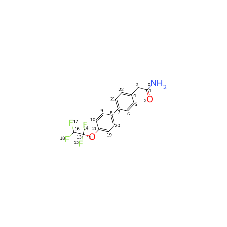 NC(=O)Cc1ccc(-c2ccc(OC(F)(F)C(F)F)cc2)cc1